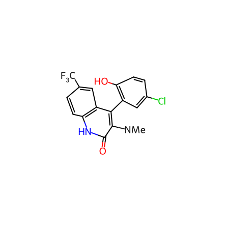 CNc1c(-c2cc(Cl)ccc2O)c2cc(C(F)(F)F)ccc2[nH]c1=O